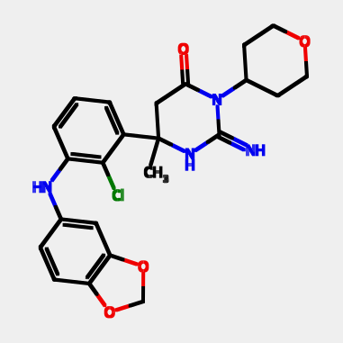 CC1(c2cccc(Nc3ccc4c(c3)OCO4)c2Cl)CC(=O)N(C2CCOCC2)C(=N)N1